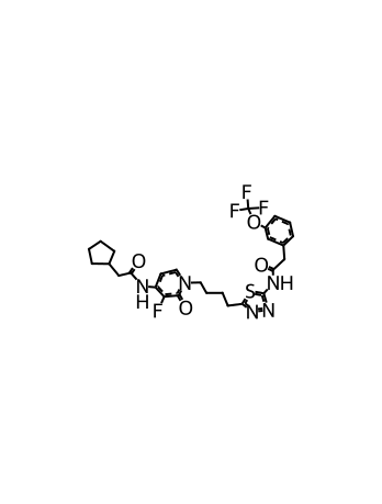 O=C(Cc1cccc(OC(F)(F)F)c1)Nc1nnc(CCCCn2ccc(NC(=O)CC3CCCC3)c(F)c2=O)s1